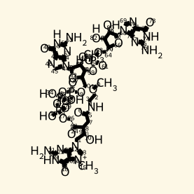 COCCNC(=O)CC1[C@@H](O)C(n2c[n+](C)c3c(=O)[nH]c(N)nc32)O[C@@H]1COP(=O)(O)OP(=O)(O)OP(=O)(O)OCC1O[C@@H](n2cnc3c(=O)[nH]c(N)nc32)[C@H](OC)[C@@H]1OP(=O)(O)OC[C@H]1O[C@@H](n2cnc3c(=O)[nH]c(N)nc32)[C@H](O)[C@@H]1O